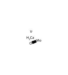 [CaH2].[O]=[Mo].[V]